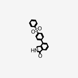 O=C1NCc2c1cccc2-c1ccc(S(=O)(=O)c2ccccc2)cc1